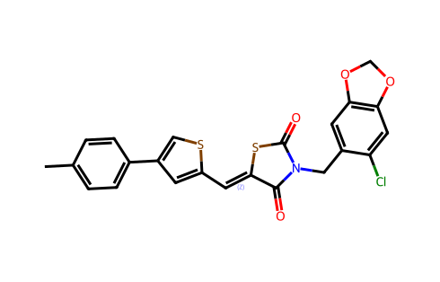 Cc1ccc(-c2csc(/C=C3\SC(=O)N(Cc4cc5c(cc4Cl)OCO5)C3=O)c2)cc1